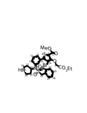 CCOC(=O)COc1c(C(=O)OC)sc(-c2cccc(N(C3CCNCC3)S(=O)(=O)Cc3ccccc3N)c2)c1Br